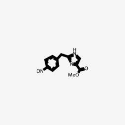 COC(=O)c1c[nH]c(Cc2ccc(N=O)cc2)n1